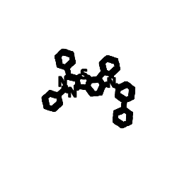 c1ccc(-c2cccc(-n3c4ccccc4c4c5sc6c(-c7ccccc7)nc(-c7ccccc7)nc6c5ccc43)c2)cc1